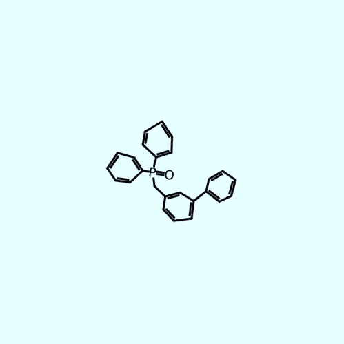 O=P(Cc1cccc(-c2ccccc2)c1)(c1ccccc1)c1ccccc1